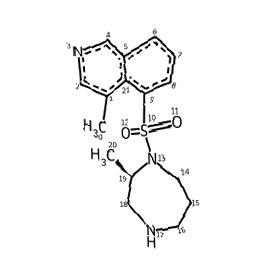 Cc1cncc2cccc(S(=O)(=O)N3CCCNC[C@H]3C)c12